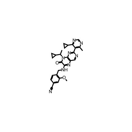 COc1cc(C#N)ccc1CNc1nc2cnc(-c3c(C)ncnc3C3CC3)nc2n(C(C)C2CC2)c1=O